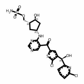 NS(=O)(=O)OC[C@H]1C[C@@H](Nc2ncncc2C(=O)c2cc([C@@H](O)c3cccc(Cl)n3)c(Cl)s2)C[C@@H]1O